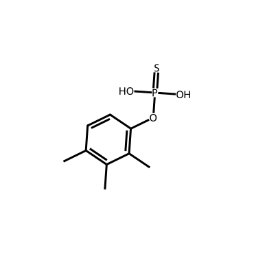 Cc1ccc(OP(O)(O)=S)c(C)c1C